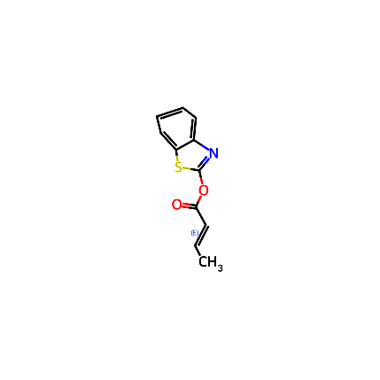 C/C=C/C(=O)Oc1nc2ccccc2s1